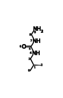 CC(C)CNC(=O)NCN